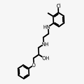 Cc1c(Cl)cccc1NCCNCC(O)COc1ccccc1